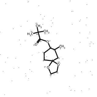 CC1CC2(CCC1OC(=O)C(C)(C)C)OCCO2